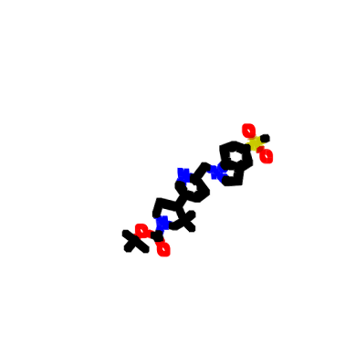 CC(C)(C)OC(=O)N1CC=C(c2ccc(Cn3ccc4cc(S(C)(=O)=O)ccc43)nc2)C(C)(C)C1